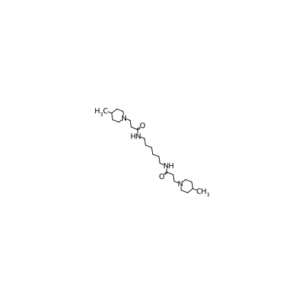 CC1CCN(CCC(=O)NCCCCCCNC(=O)CCN2CCC(C)CC2)CC1